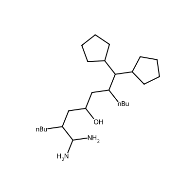 CCCCC(CC(O)CC(CCCC)C(C1CCCC1)C1CCCC1)C(N)N